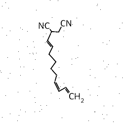 C=C/C=C\CCCC/C=C/C(C#N)CC#N